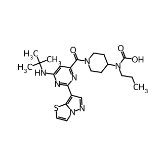 CCCN(C(=O)O)C1CCN(C(=O)c2cc(NC(C)(C)C)nc(-c3cnn4ccsc34)n2)CC1